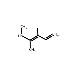 C=C/C(F)=C(\C)NC